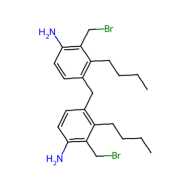 CCCCc1c(Cc2ccc(N)c(CBr)c2CCCC)ccc(N)c1CBr